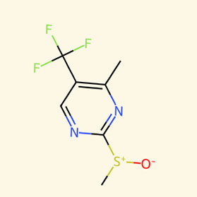 Cc1nc([S+](C)[O-])ncc1C(F)(F)F